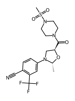 C[C@H]1O[C@H](C(=O)N2CCN(S(C)(=O)=O)CC2)CN1c1ccc(C#N)c(C(F)(F)F)c1